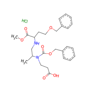 COC(=O)C(CCOCc1ccccc1)NCC(C)N(CCC(=O)O)C(=O)OCc1ccccc1.Cl